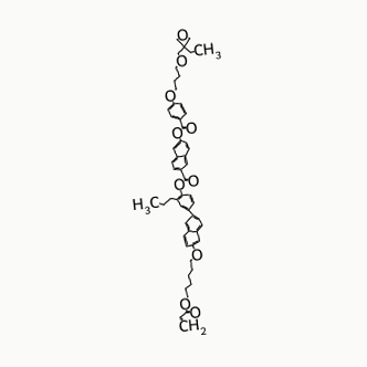 C=CC(=O)OCCCCCCOc1ccc2cc(-c3ccc(OC(=O)c4ccc5cc(OC(=O)c6ccc(OCCCCOCC7(CC)COC7)cc6)ccc5c4)c(CCC)c3)ccc2c1